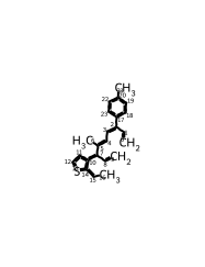 C=C\C(=C/C=C(C)/C(C=C)=c1\ccs\c1=C\C)c1ccc(C)cc1